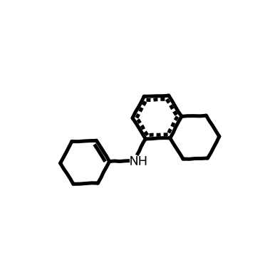 C1=C(Nc2cccc3c2CCCC3)CCCC1